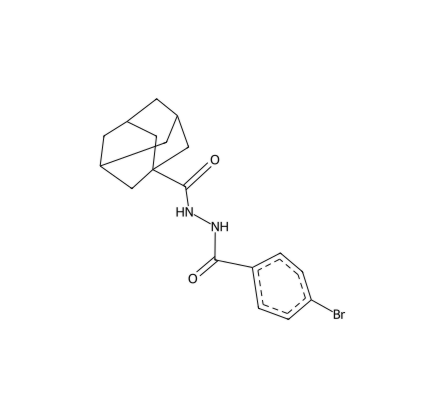 O=C(NNC(=O)C12CC3CC(CC(C3)C1)C2)c1ccc(Br)cc1